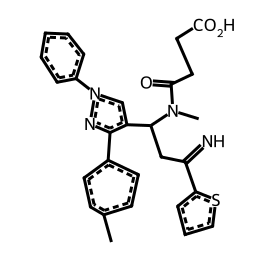 Cc1ccc(-c2nn(-c3ccccc3)cc2C(CC(=N)c2cccs2)N(C)C(=O)CCC(=O)O)cc1